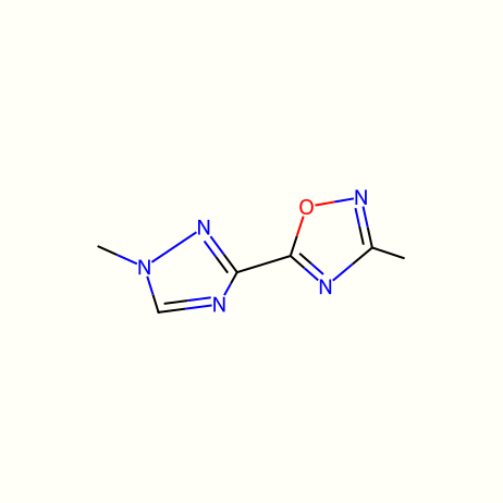 Cc1noc(-c2ncn(C)n2)n1